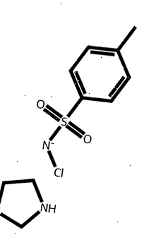 C1CNCN1.Cc1ccc(S(=O)(=O)[N-]Cl)cc1.[Na+]